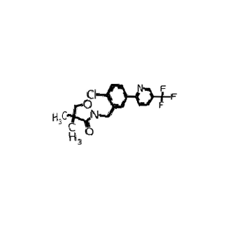 CC1(C)CON(Cc2cc(-c3ccc(C(F)(F)F)cn3)ccc2Cl)C1=O